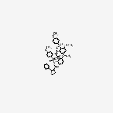 COc1ccc(S(=O)(=O)c2c(NC(C(=O)O)c3cc(OC)ccc3S(=O)(=O)N(CC(=O)N3CCCC3c3ccccc3)c3cccc(OC)c3)cccc2OC)cc1